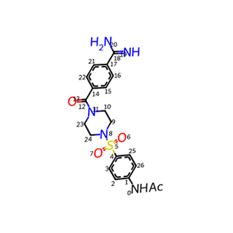 CC(=O)Nc1ccc(S(=O)(=O)N2CCN(C(=O)c3ccc(C(=N)N)cc3)CC2)cc1